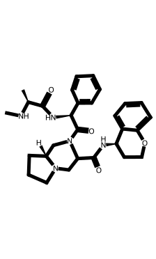 CN[C@@H](C)C(=O)N[C@H](C(=O)N1C[C@H]2CCCN2CC1C(=O)N[C@@H]1CCOc2ccccc21)c1ccccc1